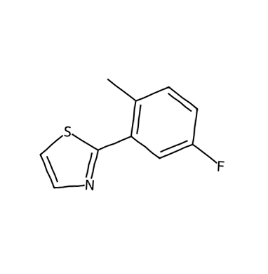 Cc1ccc(F)cc1-c1nccs1